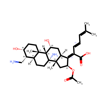 CC(=O)O[C@H]1C[C@@]2(C)[C@@H](C[C@@H](O)[C@H]3[C@@]4(C)CC[C@@H](O)[C@@H](CN)[C@@H]4CC[C@@]32N)/C1=C(\C=C\C=C(C)C)C(=O)O